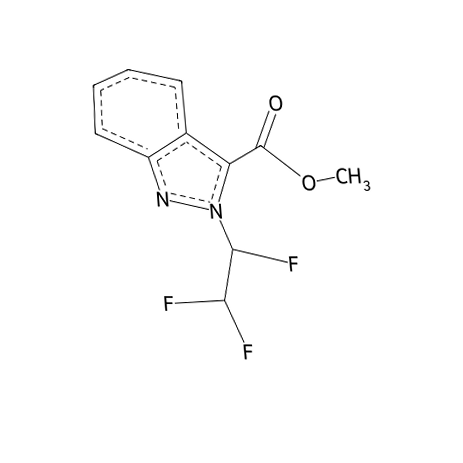 COC(=O)c1c2ccccc2nn1C(F)C(F)F